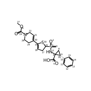 C=S(=O)(NC1(C(=O)O)C[C@@H]1c1ccccc1)C1CC=C(C2=CCN(C(=O)OC)CC2)S1